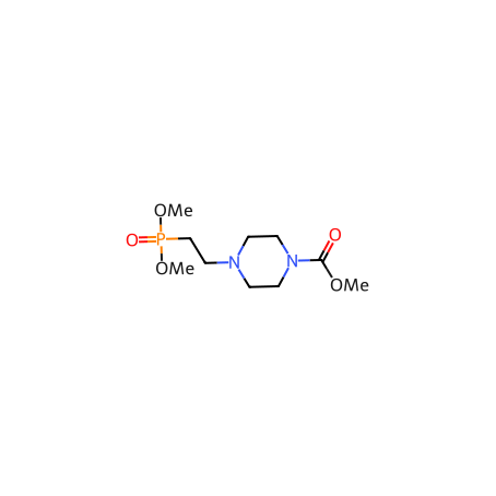 COC(=O)N1CCN(CCP(=O)(OC)OC)CC1